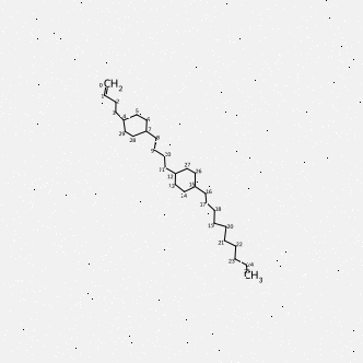 C=CCCC1CCC(CCCCC2CCC(CCCCCCCCCC)CC2)CC1